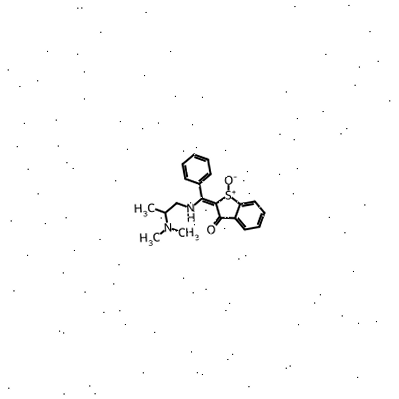 CC(CNC(=C1C(=O)c2ccccc2[S+]1[O-])c1ccccc1)N(C)C